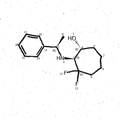 C[C@@H](N[C@H]1[C@H](O)CCCCC1(F)F)c1ccccc1